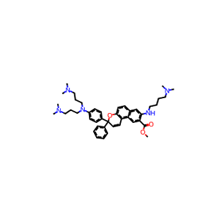 COC(=O)c1cc2c3c(ccc2cc1NCCCCN(C)C)OC(c1ccccc1)(c1ccc(N(CCCN(C)C)CCCN(C)C)cc1)C=C3